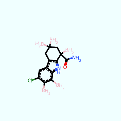 Bc1c(Cl)cc2c3c([nH]c2c1B)C(B)(C(N)=O)CC(B)(B)C3